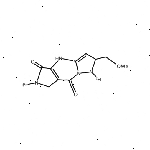 [2H]N1C(COC)C=C2NC3=C(CN(C(C)C)C3=O)C(=O)N21